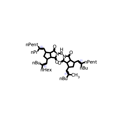 CCCCCC/C(=C/C1CC(/C=C(\CCC)CCCCC)C2C(=O)N(BN3C(=O)C4C(/C=C(\C)CCCC)CC(/C=C(\CCCC)CCCCC)C4C3=O)C(=O)C12)CCCC